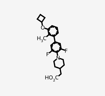 Cc1c(OC2CCC2)cccc1-c1cc(F)c(N2CCC(CC(=O)O)CC2)c(F)c1